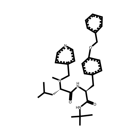 CC(C)C[C@@H](C(=O)N[C@@H](Cc1ccc(OCc2ccccc2)cc1)C(=O)NC(C)(C)C)N(C)Cc1ccncc1